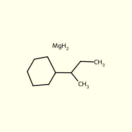 CCC(C)[C]1CCCCC1.[MgH2]